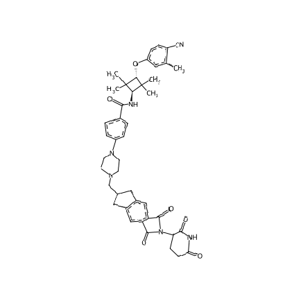 Cc1cc(O[C@H]2C(C)(C)[C@H](NC(=O)c3ccc(N4CCN(CC5Cc6cc7c(cc6C5)C(=O)N(C5CCC(=O)NC5=O)C7=O)CC4)cc3)C2(C)C)ccc1C#N